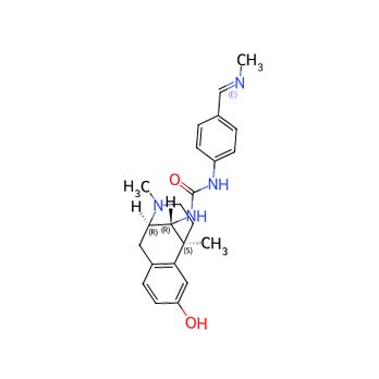 C/N=C/c1ccc(NC(=O)N[C@H]2[C@H]3Cc4ccc(O)cc4[C@]2(C)CCN3C)cc1